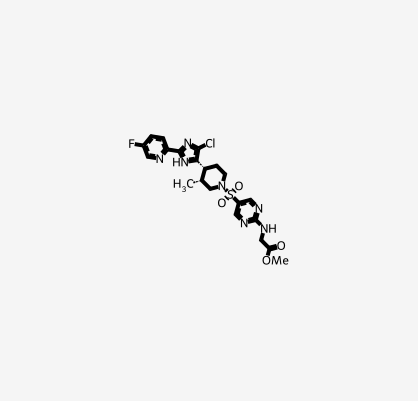 COC(=O)CNc1ncc(S(=O)(=O)N2CC[C@@H](c3[nH]c(-c4ccc(F)cn4)nc3Cl)[C@@H](C)C2)cn1